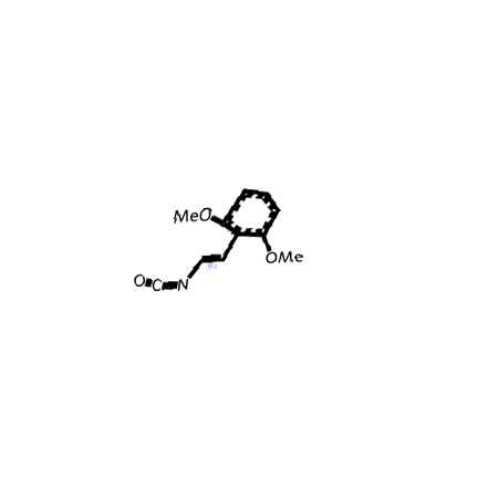 COc1cccc(OC)c1/C=C/N=C=O